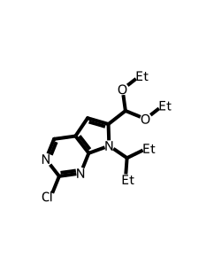 CCOC(OCC)c1cc2cnc(Cl)nc2n1C(CC)CC